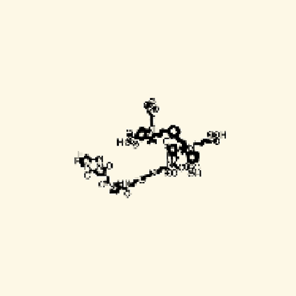 CC1(C)C(/C=C/C2=C(Oc3ccc(C[C@H](NC(=O)CCOCCOCCNC(=O)C4CCN(C(=O)C[C@@H]5C[C@@H](C(=O)N6CC(F)(F)C[C@H]6C#N)NC5=O)C4)C(=O)O)cc3)C(=C/C=C3/N(CCCCS(=O)(=O)O)c4ccc(S(=O)(=O)O)cc4C3(C)C)/CCC2)=[N+](CCCCS(=O)(=O)[O-])c2ccc(S(=O)(=O)O)cc21